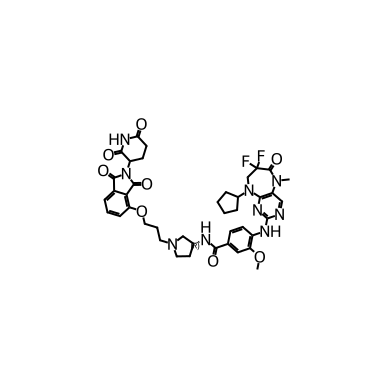 COc1cc(C(=O)N[C@@H]2CCN(CCCOc3cccc4c3C(=O)N(C3CCC(=O)NC3=O)C4=O)C2)ccc1Nc1ncc2c(n1)N(C1CCCC1)CC(F)(F)C(=O)N2C